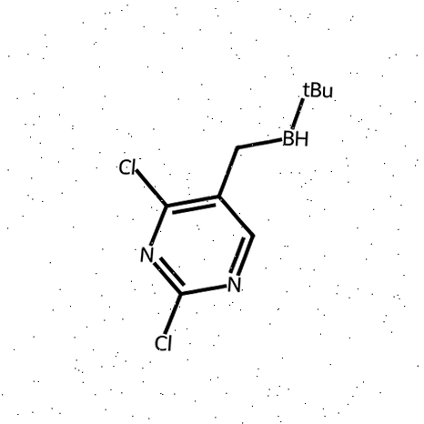 CC(C)(C)BCc1cnc(Cl)nc1Cl